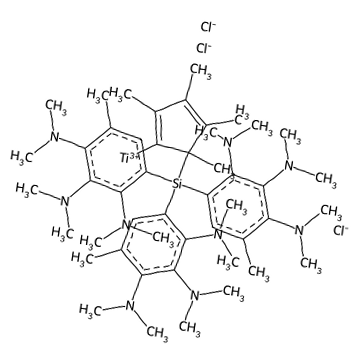 CC1=C(C)C(C)([Si](c2cc(C)c(N(C)C)c(N(C)C)c2N(C)C)(c2cc(C)c(N(C)C)c(N(C)C)c2N(C)C)c2cc(C)c(N(C)C)c(N(C)C)c2N(C)C)[C]([Ti+3])=C1C.[Cl-].[Cl-].[Cl-]